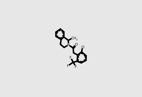 CC1c2ccccc2CCN1C(=O)Cc1c(Cl)cccc1C(F)(F)F